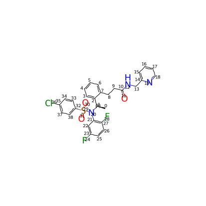 C[C@H](c1ccccc1CCC(=O)NCc1ccccn1)N(c1cc(F)ccc1F)S(=O)(=O)c1ccc(Cl)cc1